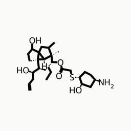 C=CC[C@@H](O)[C@H](C)[C@@]12CCC(O)C13CC(C)[C@@](C)([C@@H](CCC)OC(=O)CS[C@@H]1CC[C@@H](N)C[C@H]1O)[C@H]32